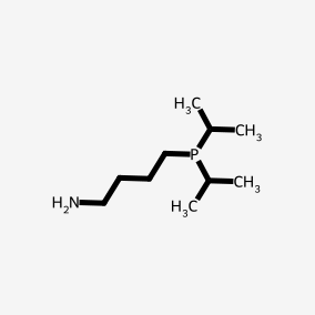 CC(C)P(CCCCN)C(C)C